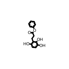 O=C(CCc1c(O)ccc(O)c1O)Oc1ccccc1